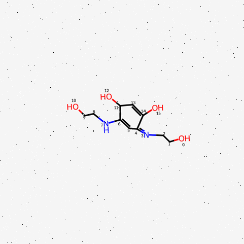 OCC/N=C1/C=C(NCCO)C(O)C=C1O